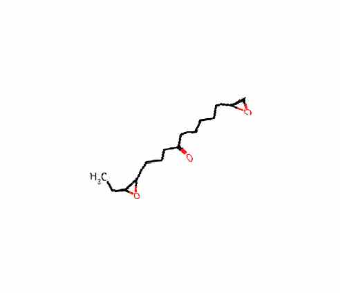 CCC1OC1CCCC(=O)CCCCCC1CO1